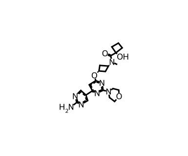 CN(C(=O)C1(O)CCC1)[C@H]1C[C@H](Oc2cc(-c3cnc(N)nc3)nc(N3CCOCC3)n2)C1